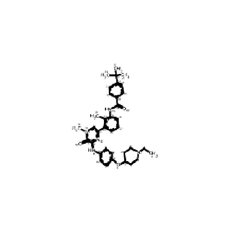 CCN1CCC(Oc2ccc(Nc3nc(-c4cccc(NC(=O)c5ccc(C(C)(C)C)cc5)c4C)cn(C)c3=O)cc2)CC1